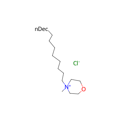 CCCCCCCCCCCCCCCCCC[N+]1(C)CCOCC1.[Cl-]